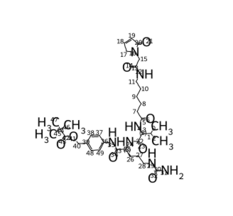 CC(C)[C@H](NC(=O)CCCCCNC(=O)CN1CC=CC1=O)C(=O)N[C@@H](CCCNC(N)=O)C(=O)Nc1ccc(COC(=O)C(C)(C)C)cc1